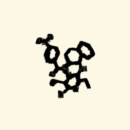 CCc1nc(NC2c3ccccc3CCC2OC(=O)c2ccc([N+](=O)[O-])cc2)c(CC)nc1Br